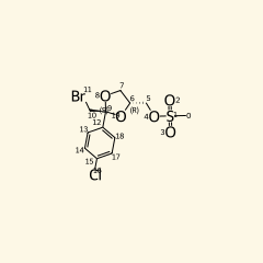 CS(=O)(=O)OC[C@H]1CO[C@@](CBr)(c2ccc(Cl)cc2)O1